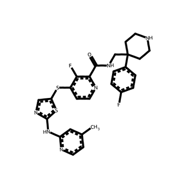 Cc1ccnc(Nc2ncc(Sc3ccnc(C(=O)NCC4(c5ccc(F)cc5)CCNCC4)c3F)s2)c1